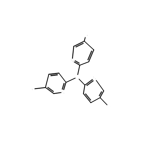 Brc1ccc(P(c2ccc(Br)cn2)c2ccc(Br)cn2)nc1